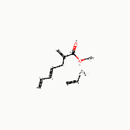 C=CC(=O)O.C=CC=CCC(=C)C(=O)OCCC